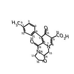 Cc1ccc(-c2c3n(cc(C(=O)O)c2=O)CC2OCCN2C3=O)cc1